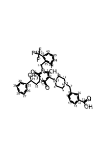 Cc1c(N2CCN(Cc3cccc(C(=O)O)c3)CC2)c(=O)n(C[C@H](C)c2ccccc2)c(=O)n1Cc1c(F)cccc1C(F)(F)F